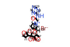 O=C(C[N+]12CCC(CC1)[C@@H](OC(=O)C(O)(c1ccoc1)c1ccoc1)C2)Nc1ncncn1.[Br-]